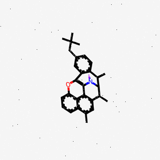 Cc1cc2c3c4c(cccc14)OC1=C3N(I)C(C(C)c3ccc(CC(C)(C)C)cc31)C2C